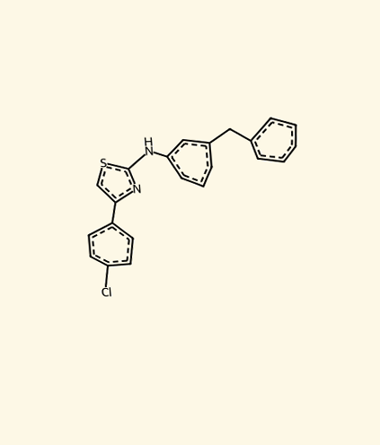 Clc1ccc(-c2csc(Nc3cccc(Cc4ccccc4)c3)n2)cc1